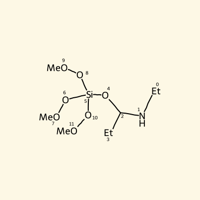 CCNC(CC)O[Si](OOC)(OOC)OOC